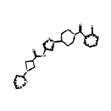 O=C(Nc1cnn(C2CCN(C(=O)c3ccccc3F)CC2)c1)C1CN(c2cccnn2)C1